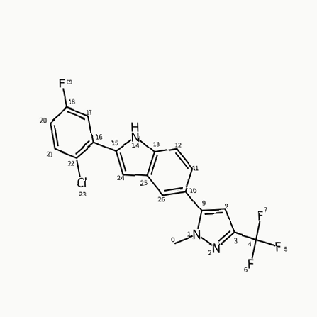 Cn1nc(C(F)(F)F)cc1-c1ccc2[nH]c(-c3cc(F)ccc3Cl)cc2c1